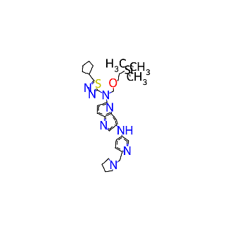 C[Si](C)(C)CCOCN(c1ccc2ncc(Nc3ccc(CN4CCCC4)nc3)cc2n1)c1nnc(C2CCCC2)s1